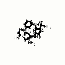 N=C/C=N\Nc1cccc(Nc2nc(N[C@@H]3CCOC[C@@H]3N)c(F)cc2C(N)=O)c1